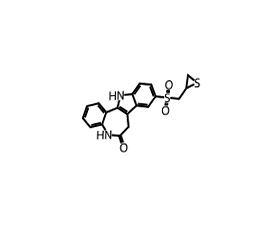 O=C1Cc2c([nH]c3ccc(S(=O)(=O)CC4CS4)cc23)-c2ccccc2N1